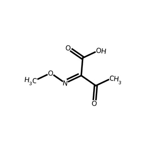 CON=C(C(C)=O)C(=O)O